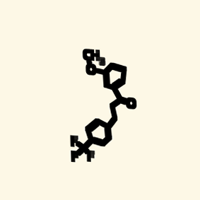 COc1cccc(C(=O)CCc2ccc(C(F)(F)F)cc2)c1